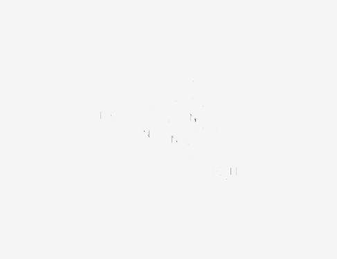 Cc1cc2c(-c3ccc(C(F)(F)F)cn3)nc3cc(C(=O)O)ccc3n2c1